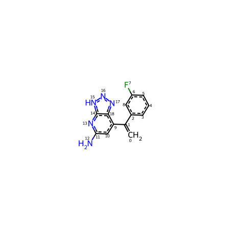 C=C(c1cccc(F)c1)c1cc(N)nc2[nH]nnc12